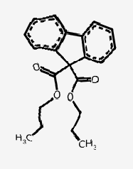 CCCOC(=O)C1(C(=O)OCCC)c2ccccc2-c2ccccc21